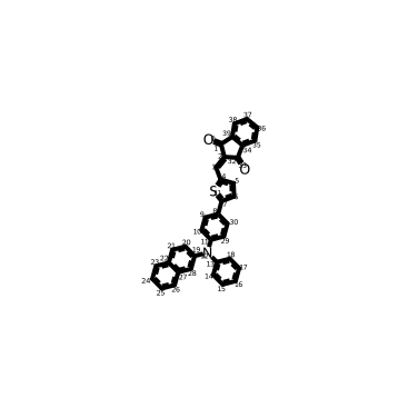 O=C1C(=Cc2ccc(-c3ccc(N(c4ccccc4)c4ccc5ccccc5c4)cc3)s2)C(=O)c2ccccc21